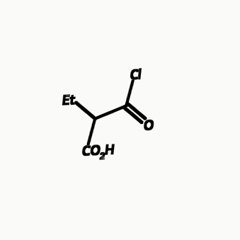 CCC(C(=O)O)C(=O)Cl